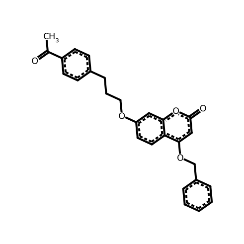 CC(=O)c1ccc(CCCOc2ccc3c(OCc4ccccc4)cc(=O)oc3c2)cc1